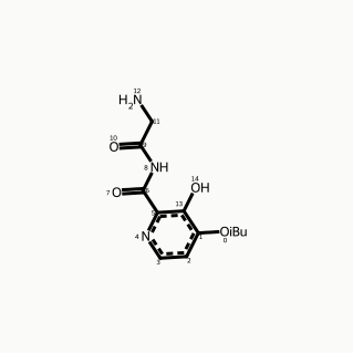 CC(C)COc1ccnc(C(=O)NC(=O)CN)c1O